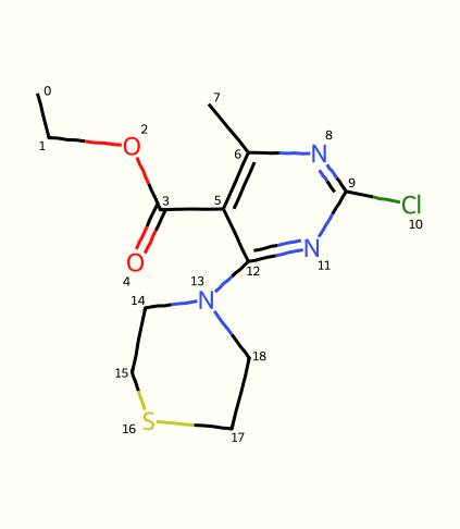 CCOC(=O)c1c(C)nc(Cl)nc1N1CCSCC1